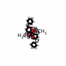 COP(=O)(OC)C1(C(C(F)(F)F)(C(F)(F)F)C2(P(=O)(OC)OC)C=CC(Oc3ccccc3)=CC2)C=CC(Oc2ccccc2)=CC1